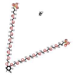 Cc1ccc(OCCOCCOCCOCCOCCOCCOCCOCCOCCCCS(=O)(=O)[O-])c(OCCOCCOCCOCCOCCOCCOCCOCCOCCCCS(=O)(=O)[O-])c1.[K+].[K+]